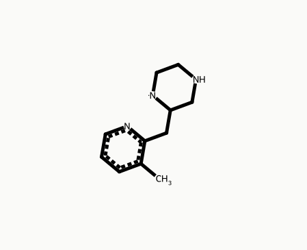 Cc1cccnc1CC1CNCC[N]1